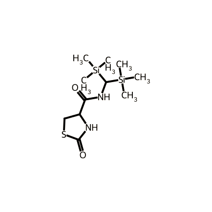 C[Si](C)(C)C(NC(=O)C1CSC(=O)N1)[Si](C)(C)C